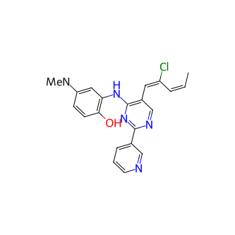 C/C=C\C(Cl)=C/c1cnc(-c2cccnc2)nc1Nc1cc(NC)ccc1O